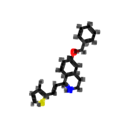 Cc1ccsc1C=CC1=NCCc2cc(OCc3ccccc3)ccc21